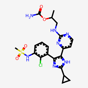 CC(CNc1nccc(-c2[nH]c(C3CC3)nc2-c2cccc(NS(C)(=O)=O)c2Cl)n1)OC(N)=O